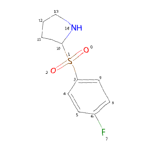 O=S(=O)(c1ccc(F)cc1)C1CCCN1